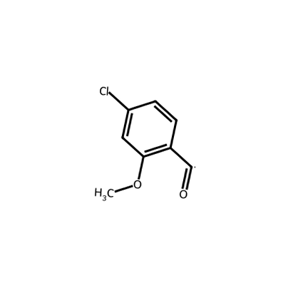 COc1cc(Cl)ccc1[C]=O